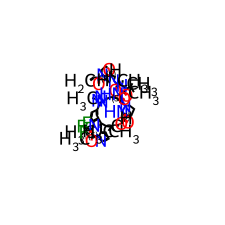 C=CC(=O)N1CCO[C@H]2CN(C(=O)N(C)C(C(=O)N[C@H]3Cc4nc(n(C)n4)-c4ccc5c(c4)c(c(-c4cccnc4[C@H](C)OC)n5CC(F)(F)F)CC(C)(C)COC(=O)[C@@H]4CCCN(N4)C3=O)C(C)C)C[C@H]21